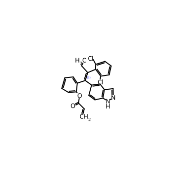 C=CC(=O)Oc1ccccc1/C(=C(\CC)c1c(Cl)cccc1Cl)c1ccc2[nH]ncc2c1